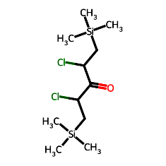 C[Si](C)(C)CC(Cl)C(=O)C(Cl)C[Si](C)(C)C